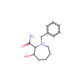 NC(=O)C1C(O)[CH]CCCN1Cc1ccccc1